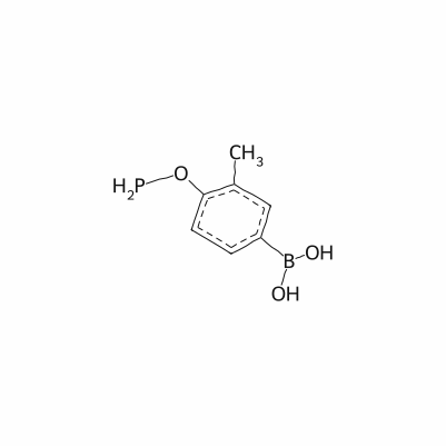 Cc1cc(B(O)O)ccc1OP